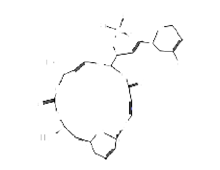 C=C1C[C@H](C)C[C@@H]2CC=C[C@@H](C/C=C\C(=O)O[C@H]([C@H](/C=C/[C@@H]3CC(C)=CCO3)O[Si](C)(C)C(C)(C)C)C/C=C/[C@@H](O)C1)O2